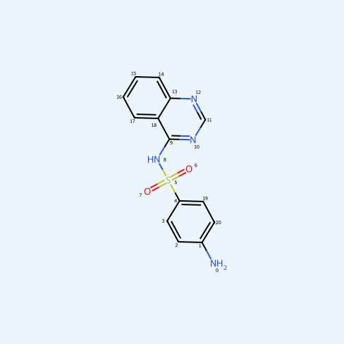 Nc1ccc(S(=O)(=O)Nc2ncnc3ccccc23)cc1